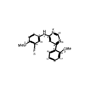 COc1ccc(Nc2cc(-c3ccccc3OC)ncn2)cc1F